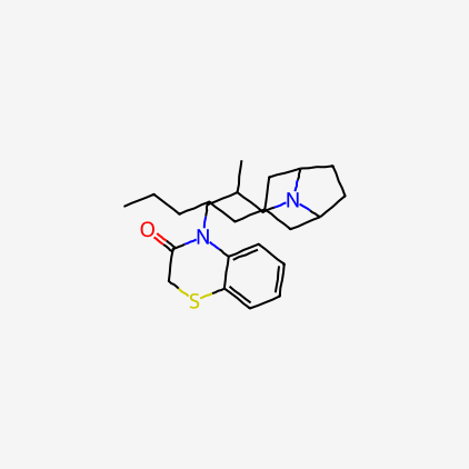 CCCCCC1CC2CCC(C1)N2CC(C)CN1C(=O)CSc2ccccc21